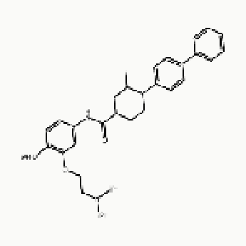 COc1ccc(NC(=O)C2CCC(c3ccc(-c4ccccc4)cc3)C(C)C2)cc1OCCN(C(C)C)C(C)C